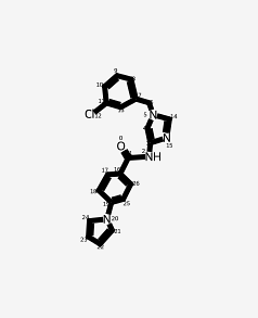 O=C(Nc1cn(Cc2cccc(Cl)c2)cn1)c1ccc(-n2cccc2)cc1